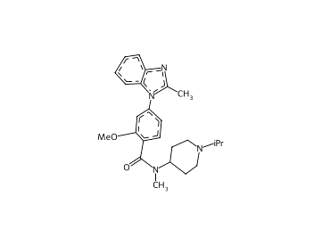 COc1cc(-n2c(C)nc3ccccc32)ccc1C(=O)N(C)C1CCN(C(C)C)CC1